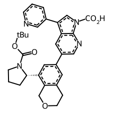 CC(C)(C)OC(=O)N1CCC[C@H]1c1cc(-c2cnc3c(c2)c(-c2cccnc2)cn3C(=O)O)cc2c1COCC2